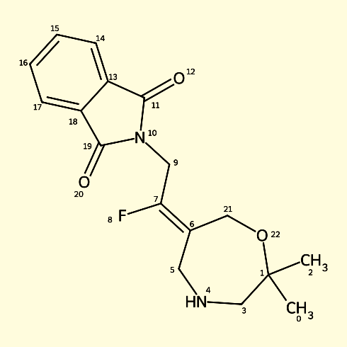 CC1(C)CNC/C(=C(\F)CN2C(=O)c3ccccc3C2=O)CO1